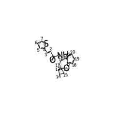 O=C(/C=C/c1cccs1)NC1CC2(CCC2)Oc2ccccc21